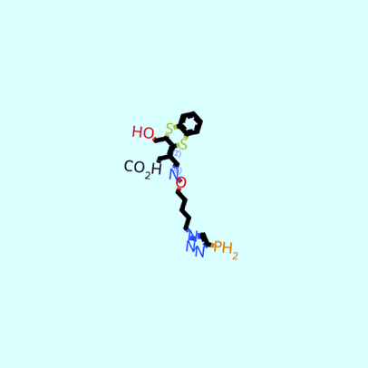 O=C(O)CC(/C=N/OCCCCCn1cc(P)nn1)=C1/Sc2ccccc2SC1CO